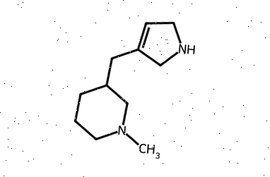 CN1CCCC(CC2=CCNC2)C1